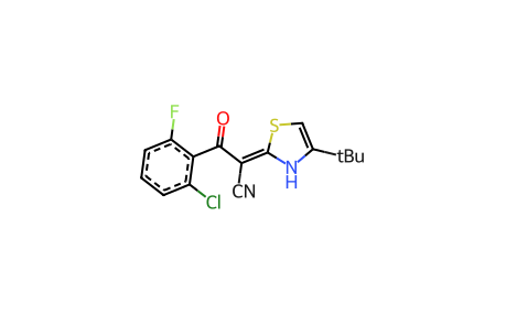 CC(C)(C)C1=CSC(=C(C#N)C(=O)c2c(F)cccc2Cl)N1